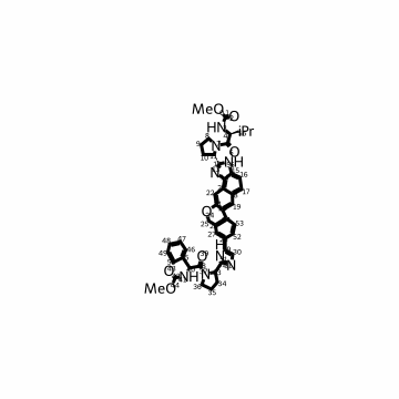 COC(=O)N[C@H](C(=O)N1CCC[C@H]1c1nc2c(ccc3cc4c(cc32)OCc2cc(-c3cnc(C5CCCN5C(=O)[C@H](NC(=O)OC)c5ccccc5)[nH]3)ccc2-4)[nH]1)C(C)C